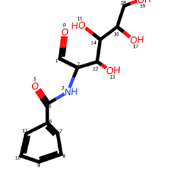 O=CC(NC(=O)c1ccccc1)C(O)C(O)C(O)CO